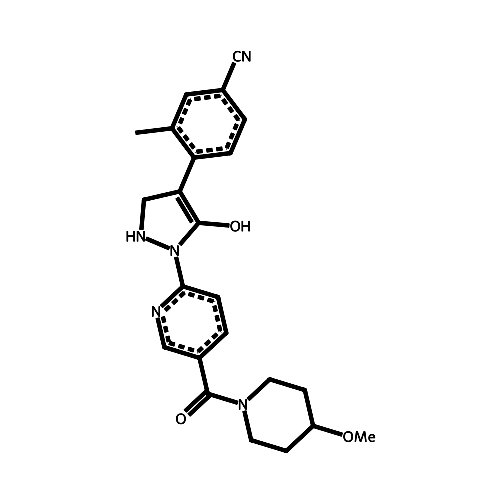 COC1CCN(C(=O)c2ccc(N3NCC(c4ccc(C#N)cc4C)=C3O)nc2)CC1